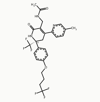 CC(=O)NCC1=C(c2ccc(C)cn2)C[C@](c2ccc(OCCCC(F)(F)F)cc2)(C(F)(F)F)NC1=O